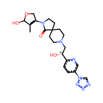 CC1=C(N2CCC3(CCN(C[C@@H](O)c4ccc(-n5cnnn5)cn4)CC3)C2=O)COC1O